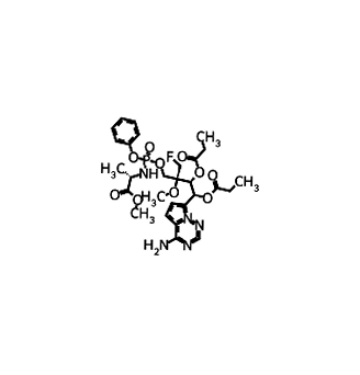 CCC(=O)O[C@@H](c1ccc2c(N)ncnn12)[C@H](OC(=O)CC)[C@@](CF)(COP(=O)(N[C@@H](C)C(=O)OC)Oc1ccccc1)OC